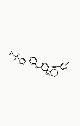 Cn1cc(C#CC2=CN=C(Nc3ccnc(-c4cnn(S(=O)(=O)C5CC5)c4)n3)CC2(N)C2CCCCC2)cn1